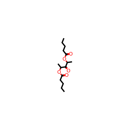 CCCCC(=O)OC(C)C(=O)C(C)OC(=O)CCCC